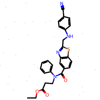 CCOC(=O)CCN(C(=O)c1ccc2sc(CNc3ccc(C#N)cc3)nc2c1)c1ccccc1